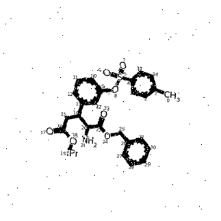 Cc1ccc(S(=O)(=O)Oc2cccc(C(CC(=O)OC(C)C)C(N)C(=O)OCc3ccccc3)c2)cc1